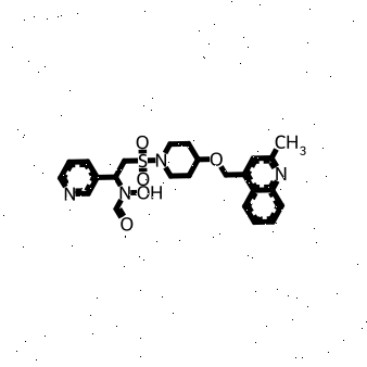 Cc1cc(COC2CCN(S(=O)(=O)CC(c3cccnc3)N(O)C=O)CC2)c2ccccc2n1